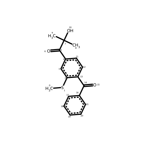 CSc1cc(C(=O)C(C)(C)O)ccc1C(=O)c1ccccc1